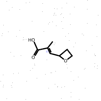 C/C(=C\C1CCO1)C(=O)O